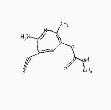 CNC(=O)Oc1cc(C#N)c(N)nc1C